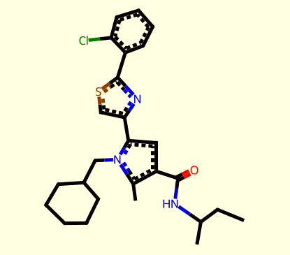 CCC(C)NC(=O)c1cc(-c2csc(-c3ccccc3Cl)n2)n(CC2CCCCC2)c1C